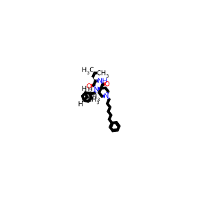 CC(C)C[C@@H]1NC(=O)C2(CCN(CCCCCCc3ccccc3)CC2)N(C[C@H]2CC[C@H]3C[C@H]2C3(C)C)C1=O